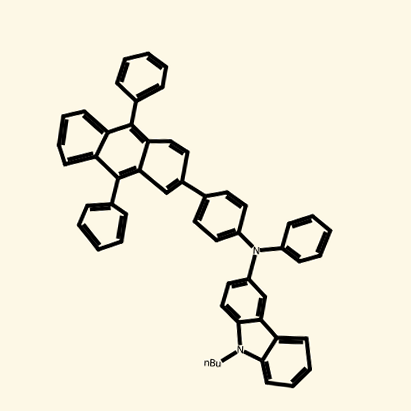 CCCCn1c2ccccc2c2cc(N(c3ccccc3)c3ccc(-c4ccc5c(-c6ccccc6)c6ccccc6c(-c6ccccc6)c5c4)cc3)ccc21